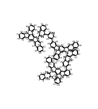 N#Cc1nc2ccccc2nc1-n1c2cc3ccccc3cc2c2cc3c4c(-c5ccc6nc(-n7c8cc9ccccc9cc8c8cc9c%10cc(-c%11cncc(-c%12nc(-n%13c%14cc%15ccccc%15cc%14c%14cc%15c%16ccccc%16n%16c%17ccccc%17c(c%14%13)c%15%16)nc%13ccccc%12%13)c%11)ccc%10n%10c%11ccccc%11c(c87)c9%10)c(-c7ccccc7)nc6c5)cccc4n4c5ccccc5c(c21)c34